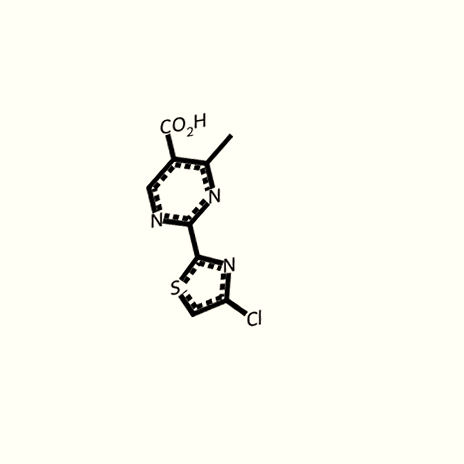 Cc1nc(-c2nc(Cl)cs2)ncc1C(=O)O